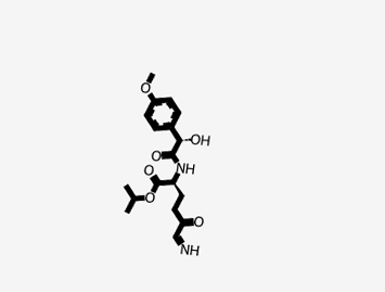 COc1ccc([C@H](O)C(=O)N[C@@H](CCC(=O)C=N)C(=O)OC(C)C)cc1